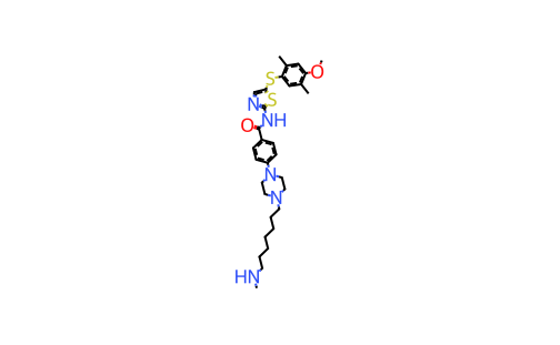 CNCCCCCCCN1CCN(c2ccc(C(=O)Nc3ncc(Sc4cc(C)c(OC)cc4C)s3)cc2)CC1